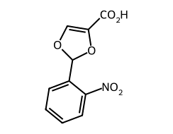 O=C(O)C1=COC(c2ccccc2[N+](=O)[O-])O1